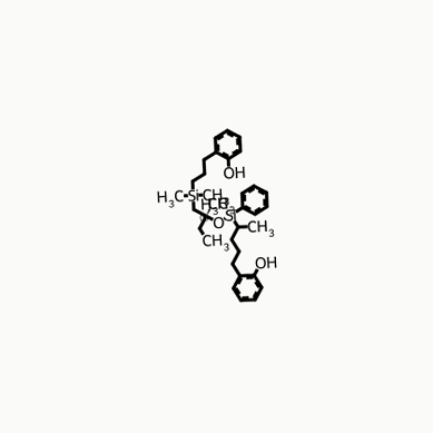 CC[C@@](C)(C[Si](C)(C)CCCc1ccccc1O)O[Si](C)(c1ccccc1)C(C)CCCc1ccccc1O